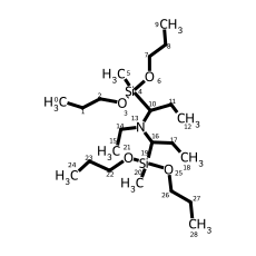 CCCO[Si](C)(OCCC)C(CC)N(CC)C(CC)[Si](C)(OCCC)OCCC